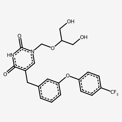 O=c1[nH]c(=O)n(COC(CO)CO)cc1Cc1cccc(Oc2ccc(C(F)(F)F)cc2)c1